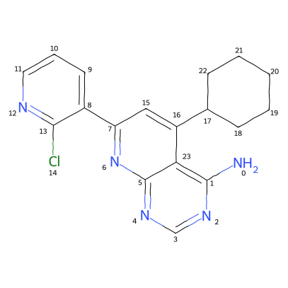 Nc1ncnc2nc(-c3cccnc3Cl)cc(C3CCCCC3)c12